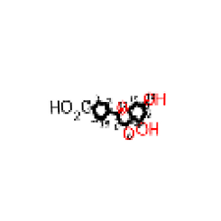 O=C(O)c1ccc(-c2cc(=O)c3c(O)cc(O)cc3o2)cc1